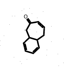 O=C1[CH]C2C=CC=CC2CC=C1